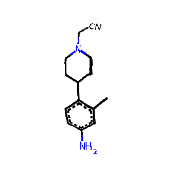 Cc1cc(N)ccc1C1CCN(CC#N)CC1